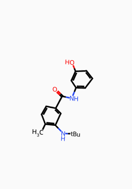 Cc1ccc(C(=O)Nc2cccc(O)c2)cc1NC(C)(C)C